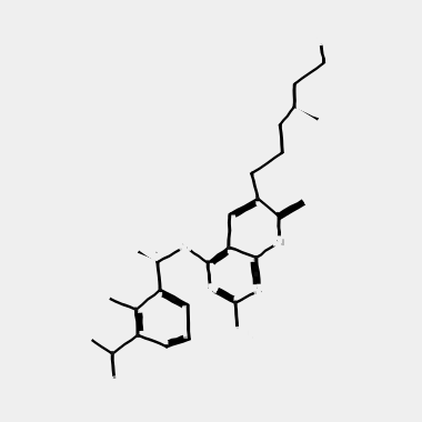 Cc1nc(N[C@H](C)c2cccc(C(F)F)c2F)c2cc(CCC[C@H](O)CCO)c(=O)[nH]c2n1